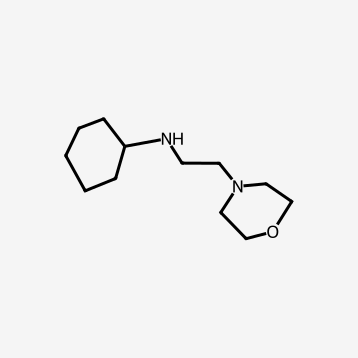 C1CCC(NCCN2CCOCC2)CC1